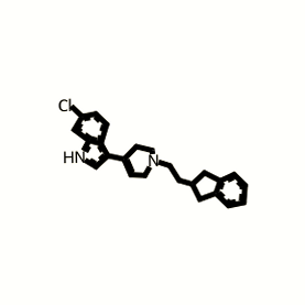 Clc1ccc2c(C3=CCN(CCC4Cc5ccccc5C4)CC3)c[nH]c2c1